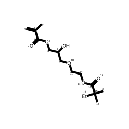 C=C(C)C(=O)OCC(O)COCCOC(=O)C(C)(C)CC